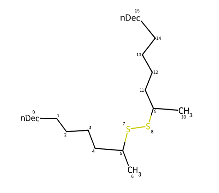 CCCCCCCCCCCCCCC(C)SSC(C)CCCCCCCCCCCCCC